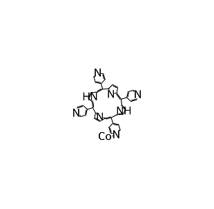 C1=Cc2nc1c(-c1ccncc1)c1ccc([nH]1)c(-c1ccncc1)c1nc(c(-c3ccncc3)c3ccc([nH]3)c2-c2ccncc2)C=C1.[Co]